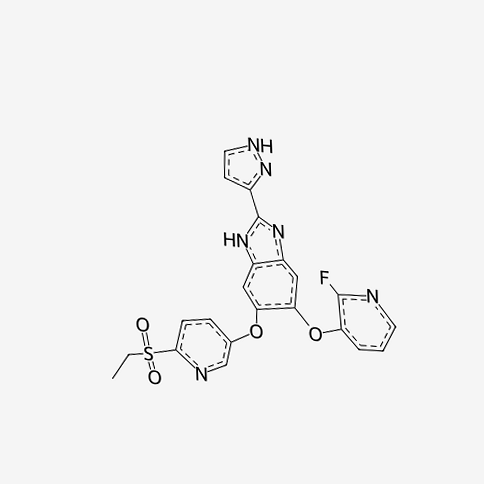 CCS(=O)(=O)c1ccc(Oc2cc3[nH]c(-c4cc[nH]n4)nc3cc2Oc2cccnc2F)cn1